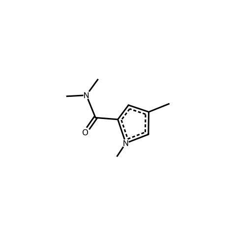 Cc1cc(C(=O)N(C)C)n(C)c1